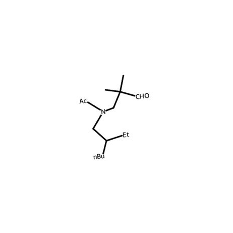 CCCCC(CC)CN(CC(C)(C)C=O)C(C)=O